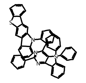 c1ccc(-c2nc(-c3ccccc3-n3c4ccccc4c4cc5sc6ccccc6c5cc43)c3c(n2)-c2ccccc2[Si]3(c2ccccc2)c2ccccc2)cc1